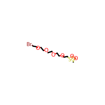 CS(=O)(=O)SCCOCCOCCOCCOCCBr